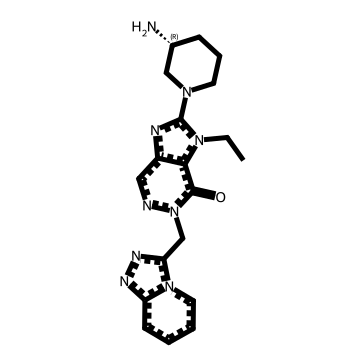 CCn1c(N2CCC[C@@H](N)C2)nc2cnn(Cc3nnc4ccccn34)c(=O)c21